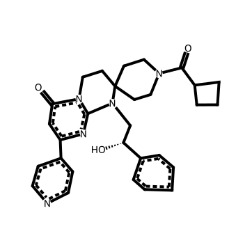 O=C(C1CCC1)N1CCC2(CC1)CCn1c(nc(-c3ccncc3)cc1=O)N2C[C@@H](O)c1ccccc1